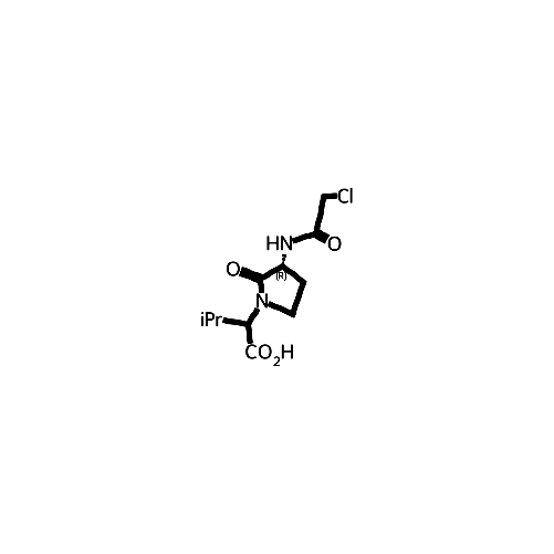 CC(C)C(C(=O)O)N1CC[C@@H](NC(=O)CCl)C1=O